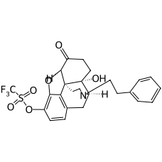 O=C1CC[C@@]2(O)[C@H]3Cc4ccc(OS(=O)(=O)C(F)(F)F)c5c4[C@@]2(CCN3CCc2ccccc2)[C@H]1O5